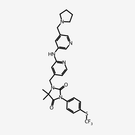 CC1(C)C(=O)N(c2ccc(SC(F)(F)F)cc2)C(=O)N1Cc1ccnc(Nc2cncc(CN3CCCC3)c2)c1